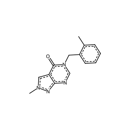 Cc1ccccc1Cn1cnc2nn(C)cc2c1=O